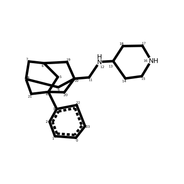 c1ccc(C23CC4CC(CC(CNC5CCNCC5)(C4)C2)C3)cc1